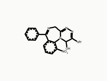 CCCC1=NN=C2CN=C(c3ccccc3)c3cccc([N+](=O)[O-])c3N2C1O